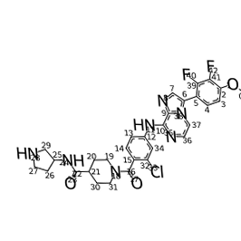 COc1ccc(-c2cnc3c(Nc4ccc(C(=O)N5CCC(C(=O)NC6CCNC6)CC5)c(Cl)c4)nccn23)c(F)c1F